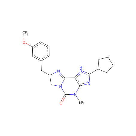 CCCN1C(=O)N2CC(Cc3cccc(OC(F)(F)F)c3)N=C2c2[nH]c(C3CCCC3)nc21